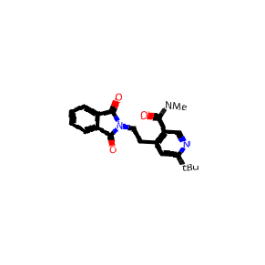 CNC(=O)c1cnc(C(C)(C)C)cc1CCN1C(=O)c2ccccc2C1=O